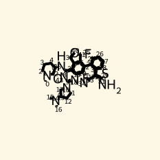 CN1CCC[C@@H](Nc2nc(N3CC[C@H](N(C)C)C3)nc3c(F)c(-c4c(F)ccc5sc(N)c(C#N)c45)c4c(c23)COC4)C1=O